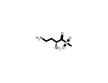 CS(=O)(=O)C(=O)[C@@H](N)CCN